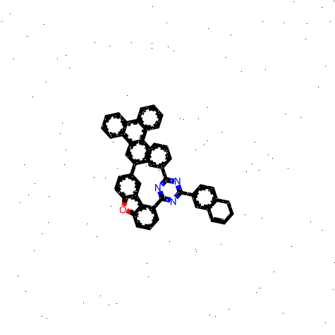 C1=Cc2cc(-c3nc(-c4ccccc4)nc(-c4cccc5oc6ccc(-c7ccc8c9ccccc9c9ccccc9c8c7)cc6c45)n3)ccc2CC1